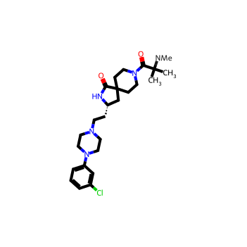 CNC(C)(C)C(=O)N1CCC2(CC1)C[C@H](CCN1CCN(c3cccc(Cl)c3)CC1)NC2=O